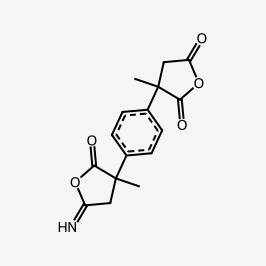 CC1(c2ccc(C3(C)CC(=O)OC3=O)cc2)CC(=N)OC1=O